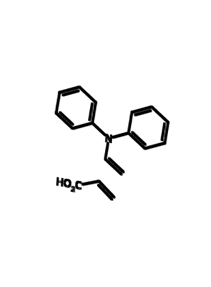 C=CC(=O)O.C=CN(c1ccccc1)c1ccccc1